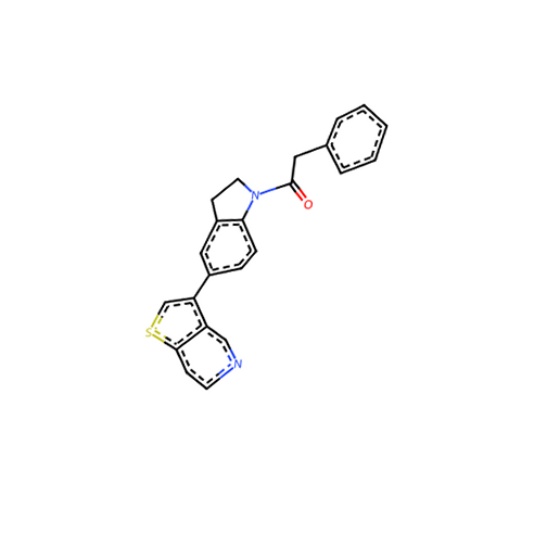 O=C(Cc1ccccc1)N1CCc2cc(-c3csc4ccncc34)ccc21